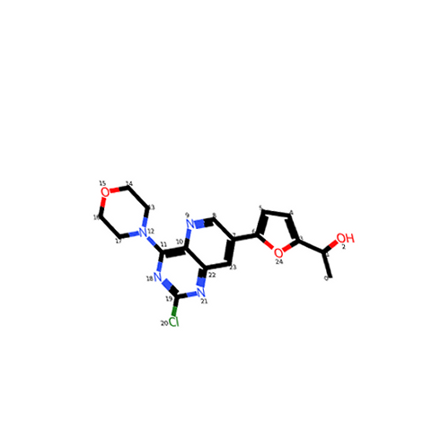 CC(O)c1ccc(-c2cnc3c(N4CCOCC4)nc(Cl)nc3c2)o1